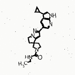 CCNC(=O)N1CCC2(CCn3nc(-c4cnc5[nH]cc(C6CC6)c5c4)cc32)C1